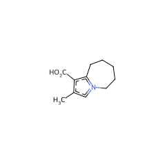 Cc1cn2c(c1C(=O)O)CCCCC2